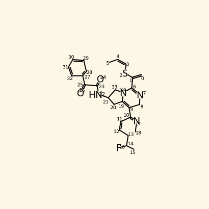 C=C(S/C=C\C)C1=NCC(C(/C=C\CC(C)F)=N/C)=C2CC(NC(=O)C(=O)c3ccccc3)CN12